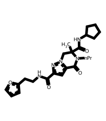 CCCN1C(=O)c2cc(C(=O)NCCc3ccco3)nn2CC1(C)C(=O)NC1CCCC1